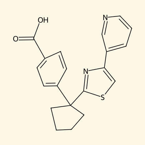 O=C(O)c1ccc(C2(c3nc(-c4cccnc4)cs3)CCCC2)cc1